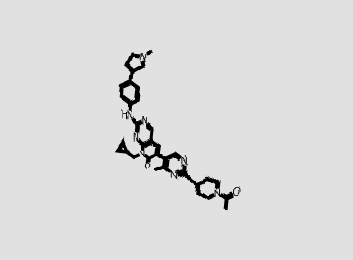 CC(=O)N1CCC(c2ncc(-c3cc4cnc(Nc5ccc(C6CCN(C)C6)cc5)nc4n(CC4CC4)c3=O)c(C)n2)CC1